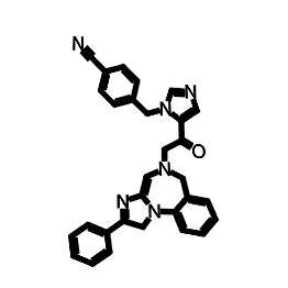 N#Cc1ccc(Cn2cncc2C(=O)CN2C=C3N=C(c4ccccc4)CN3c3ccccc3C2)cc1